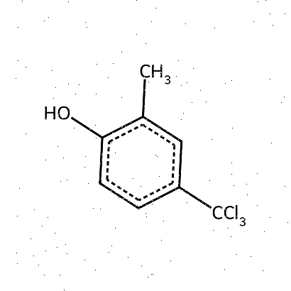 Cc1cc(C(Cl)(Cl)Cl)ccc1O